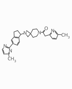 Cc1ccc(CC(=O)N2CCC3(CC2)CN(C2CCc4cc(-c5nccc(C)n5)ccc42)C3)nc1